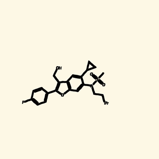 CC(C)CCN(c1cc2oc(-c3ccc(F)cc3)c(CO)c2cc1C1CC1)S(C)(=O)=O